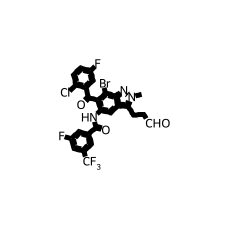 Cn1nc2c(Br)c(C(=O)c3cc(F)ccc3Cl)c(NC(=O)c3cc(F)cc(C(F)(F)F)c3)cc2c1CCC=O